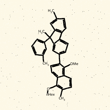 CCCCCCOc1c(C)ccc2c(OC)c(-c3ccc4c(c3)C(C)(c3cccc(C)c3)c3cc(C)ccc3-4)ccc12